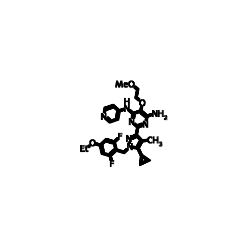 CCOc1cc(F)c(Cn2nc(-c3nc(N)c(OCCOC)c(Nc4ccncc4)n3)c(C)c2C2CC2)c(F)c1